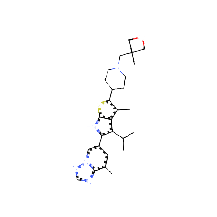 Cc1c(C2CCN(CC3(C)COC3)CC2)sc2[nH]c(-c3cc(C)c4ncnn4c3)c(C(C)C)c12